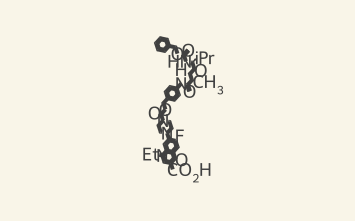 CCn1cc(C(=O)O)c(=O)c2cc(F)c(N3CCN(C(=O)OCc4ccc(NC(=O)[C@@H](C)CC(=O)[C@@H](NC(=O)OCc5ccccc5)C(C)C)cc4)CC3)cc21